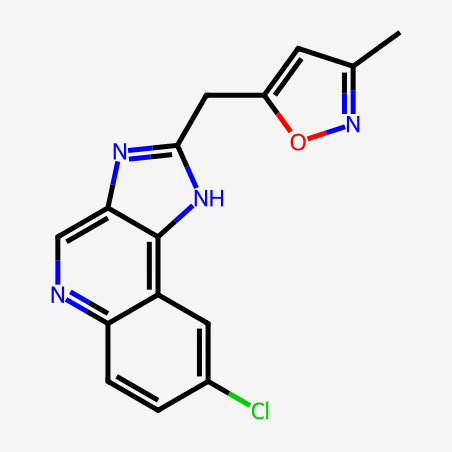 Cc1cc(Cc2nc3cnc4ccc(Cl)cc4c3[nH]2)on1